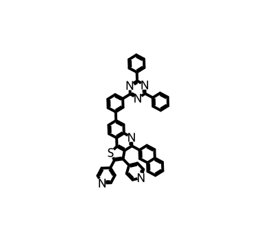 c1ccc(-c2nc(-c3ccccc3)nc(-c3cccc(-c4ccc5c(c4)nc(-c4ccc6ccccc6c4)c4c(-c6ccncc6)c(-c6ccncc6)sc45)c3)n2)cc1